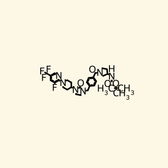 CC(C)(C)OC(=O)NC1CCN(C(=O)c2ccc(CN3CCN(C4CCN(c5ncc(C(F)(F)F)cc5F)CC4)C3=O)cc2)C1